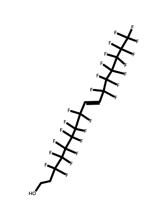 OCCC(F)(F)C(F)(F)C(F)(F)C(F)(F)C(F)(F)C(F)(F)/C=C/C(F)(F)C(F)(F)C(F)(F)C(F)(F)C(F)(F)C(F)(F)F